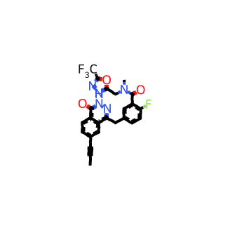 CC#Cc1ccc2c(=O)[nH]nc(Cc3ccc(F)c(C(=O)N(C)Cc4nnc(C(F)(F)F)o4)c3)c2c1